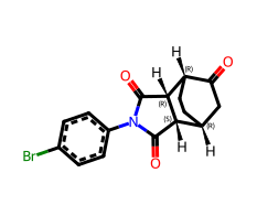 O=C1C[C@H]2CC[C@@H]1[C@H]1C(=O)N(c3ccc(Br)cc3)C(=O)[C@@H]21